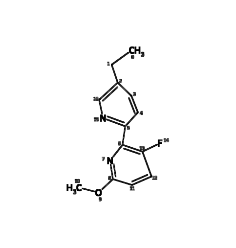 CCc1ccc(-c2nc(OC)ccc2F)nc1